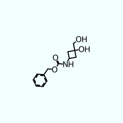 O=C(NC1CC(O)(CO)C1)OCc1ccccc1